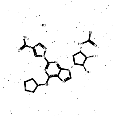 CCC(=O)N[C@H]1C[C@@H](n2cnc3c(NC4CCCC4)nc(-n4cc(C(N)=O)cn4)nc32)[C@H](O)[C@@H]1O.Cl